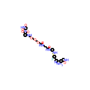 Nc1ncc(-c2ccc(SNc3cccc(NC(=O)CCCCNC(=O)CCOCCOCCOCCNc4cccc5c4C(=O)N(C4CCC(=O)NC4=O)C5=O)c3)cc2F)cc1-c1ccc2c(c1)CCNC2=O